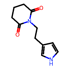 O=C1CCCC(=O)N1CCc1cc[nH]c1